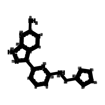 Nc1ncc2c(-c3ccnc(NCc4ccsc4)n3)n[nH]c2n1